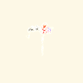 CCCCCCCCCCCCCCCC(=O)OC(CO)C(OP(=O)([O-])OCC[N+](C)(C)C)C1CC[C@@]2(C)C(=CCC3C2CC[C@@]2(C)C3CC[C@@H]2[C@H](C)CCCC(C)C)C1